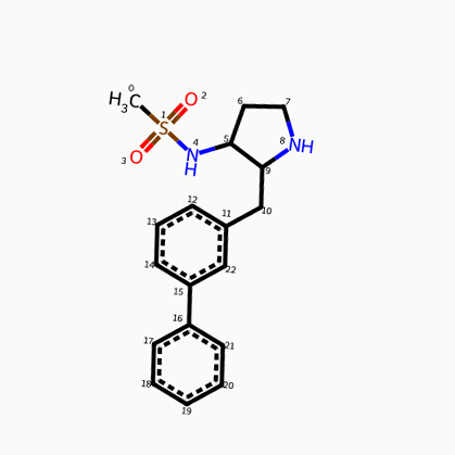 CS(=O)(=O)NC1CCNC1Cc1cccc(-c2ccccc2)c1